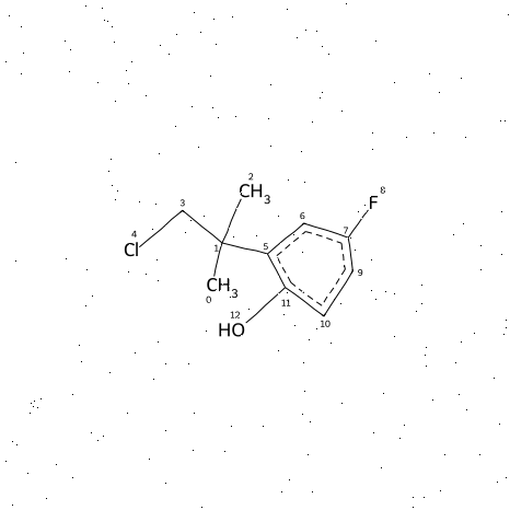 CC(C)(CCl)c1cc(F)ccc1O